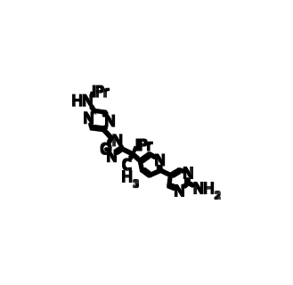 CC(C)Nc1cnc(-c2nc([C@@](C)(c3ccc(-c4cnc(N)nc4)nc3)C(C)C)no2)cn1